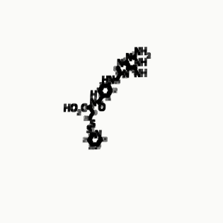 N=c1[nH]c(N)nc2ncc(CNc3ccc(C(=O)NC(CCSSc4ccccn4)C(=O)O)cc3)nc12